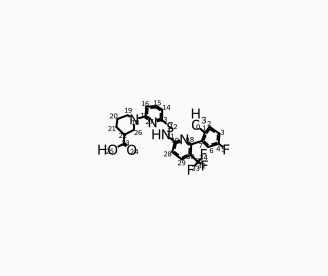 Cc1ccc(F)cc1-c1nc(NSc2cccc(N3CCCC(C(=O)O)C3)n2)ccc1C(F)(F)F